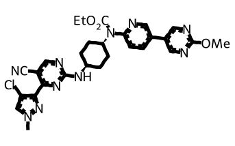 CCOC(=O)N(c1ccc(-c2cnc(OC)nc2)cn1)[C@H]1CC[C@H](Nc2ncc(C#N)c(-c3nn(C)cc3Cl)n2)CC1